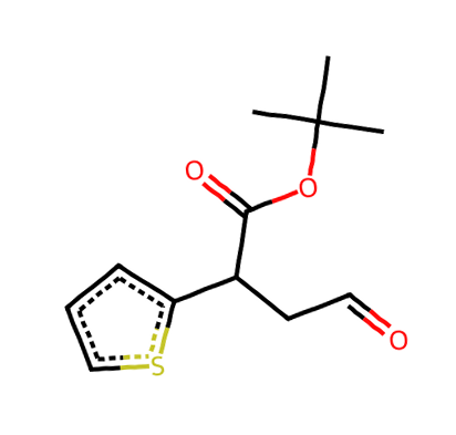 CC(C)(C)OC(=O)C(CC=O)c1cccs1